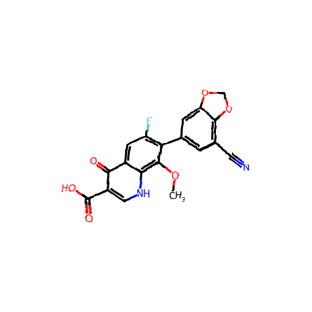 COc1c(-c2cc(C#N)c3c(c2)OCO3)c(F)cc2c(=O)c(C(=O)O)c[nH]c12